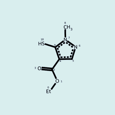 CCOC(=O)c1cnn(C)c1S